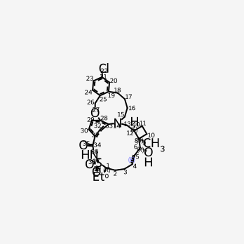 CC[C@@H]1CC/C=C/[C@@H](O)[C@@]2(C)CC[C@@H]2CN2CCCCc3cc(Cl)ccc3COc3ccc(cc32)C(=O)NS1(=O)=O